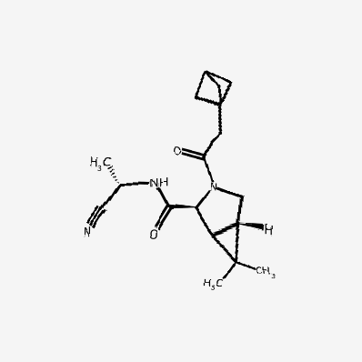 C[C@@H](C#N)NC(=O)[C@@H]1C2[C@H](CN1C(=O)CC13CC(C1)C3)C2(C)C